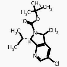 CC(C)[C@H]1c2ncc(Cl)cc2C(C)N1C(=O)OC(C)(C)C